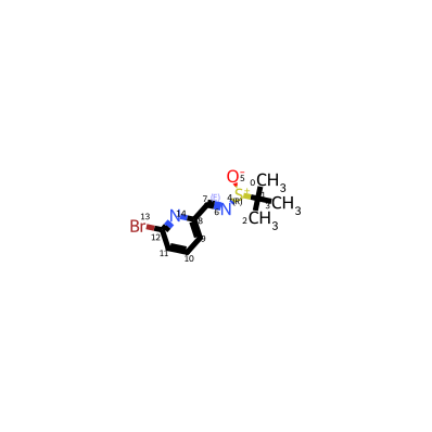 CC(C)(C)[S@+]([O-])/N=C/c1cccc(Br)n1